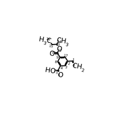 C=Cc1cc(C(=O)O)cc(C(=O)OC(C)CC)c1